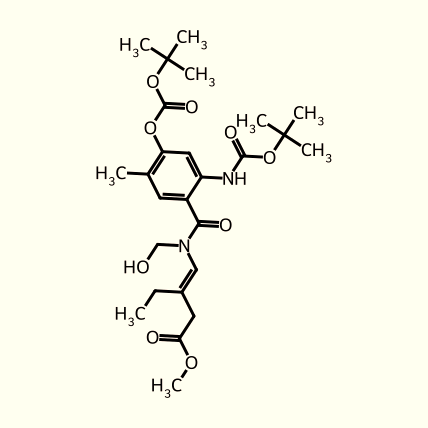 CC/C(=C\N(CO)C(=O)c1cc(C)c(OC(=O)OC(C)(C)C)cc1NC(=O)OC(C)(C)C)CC(=O)OC